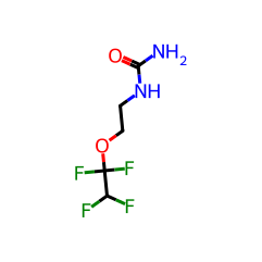 NC(=O)NCCOC(F)(F)C(F)F